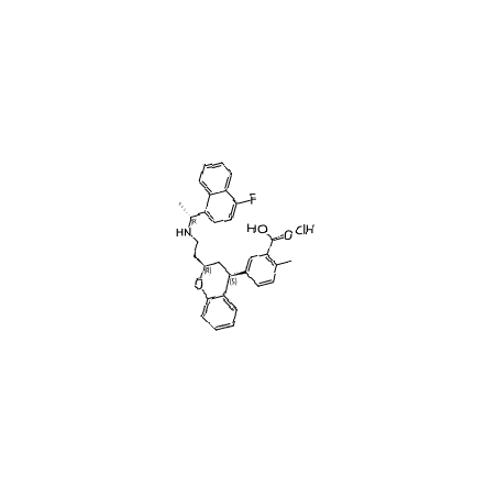 Cc1ccc([C@@H]2C[C@H](CCN[C@H](C)c3ccc(F)c4ccccc34)Oc3ccccc32)cc1C(=O)O.Cl